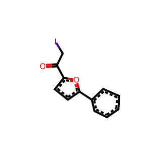 O=C(CI)c1ccc(-c2ccccc2)o1